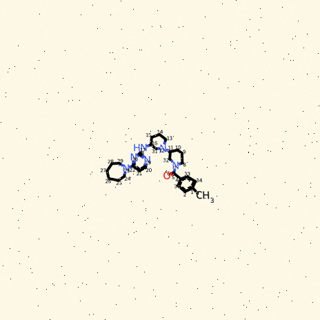 Cc1ccc(C(=O)N2CCCC(N3CCCC(Nc4nccc(N5CCCCCC5)n4)C3)C2)cc1